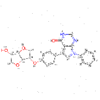 O=c1[nH]cnc2c1c(-c1ccc(OC3COC4C(O)COC34)cc1)cn2-c1ccccc1